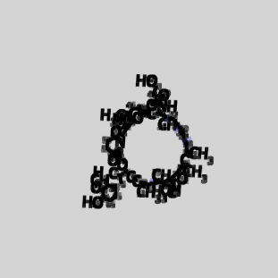 CO[C@@H]1C[C@H](CC(C)[C@@H]2CC[C@H](C)/C=C(\C)[C@@H](O)[C@@H](OC)C(=O)[C@H](C)C[C@H](C)/C=C/C=C/C=C(\C)[C@H](NS(=O)(=O)CCO)C[C@@H]3CC[C@@H](C)[C@@](O)(O3)C(=O)C(=O)N3CCCC[C@H]3C(=O)O2)CC[C@H]1O